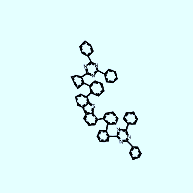 c1ccc(-c2nc(-c3ccccc3)nc(-c3ccccc3-c3ccccc3-c3cccc4c3sc3c(-c5ccccc5-c5ccccc5-c5nc(-c6ccccc6)nc(-c6ccccc6)n5)cccc34)n2)cc1